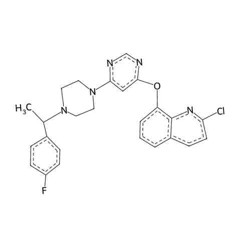 CC(c1ccc(F)cc1)N1CCN(c2cc(Oc3cccc4ccc(Cl)nc34)ncn2)CC1